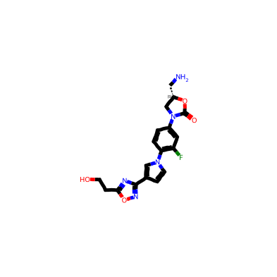 NC[C@H]1CN(c2ccc(-n3ccc(-c4noc(CCO)n4)c3)c(F)c2)C(=O)O1